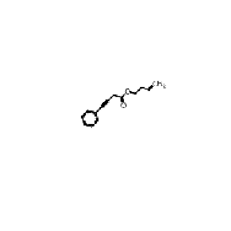 C=CCCOC(=O)CC#Cc1ccccc1